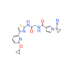 N#CC1(n2ccc(C(=O)NCC(=O)Nc3nc(-c4cccc(OC5CC5)n4)cs3)c2)CC1